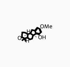 COc1cc(O)c2c(c1)C[C@H]1[C@]3(C)CCC(=O)C(C)(C)[C@H]3CC[C@]21C